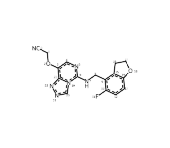 N#CCOc1cnc(NCc2c(F)ccc3c2CCO3)n2cnnc12